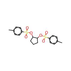 Cc1ccc(S(=O)(=O)OC2CCCC2OS(=O)(=O)c2ccc(C)cc2)cc1